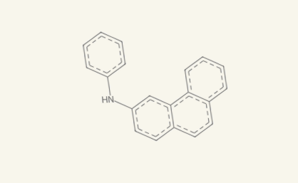 c1ccc(Nc2ccc3ccc4ccccc4c3c2)cc1